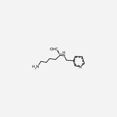 NCCCC[C@@H]([C]=O)NCc1cccnc1